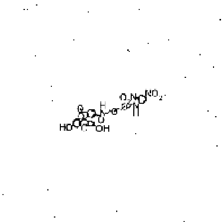 O=C(NCCOCCOCCNc1ccc([N+](=O)[O-])cc1[N+](=O)[O-])c1ccc2c(c1)C1(OC2=O)c2ccc(O)cc2Oc2cc(O)ccc21